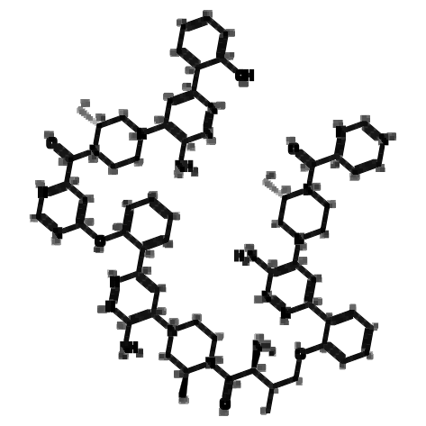 CC(COc1ccccc1-c1cc(N2CCN(C(=O)c3ccncn3)[C@@H](C)C2)c(N)nn1)[C@H](N)C(=O)N1CCN(c2cc(-c3ccccc3Oc3cc(C(=O)N4CCN(c5cc(-c6ccccc6O)nnc5N)C[C@H]4C)ncn3)nnc2N)C[C@@H]1C